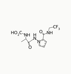 CC(NC(=O)O)C(=O)Nn1cccc1C(=O)NCC(F)(F)F